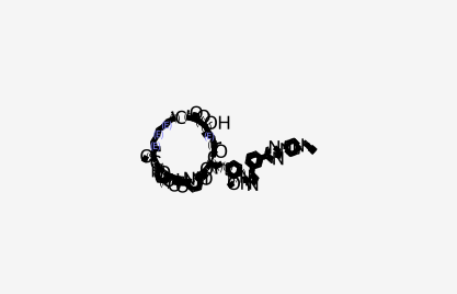 C#CCN1CCN(c2ncc(-c3cccc(-c4cnnn4[C@H]4CC[C@@H](C[C@@H](C)[C@@H]5CC(=O)[C@H](C)/C=C(\C)[C@@H](O)[C@@H](OC)C(=O)[C@H](C)C[C@H](C)/C=C/C=C/C=C(\C)[C@@H](OC)C[C@@H]6CC[C@@H](C)[C@@](O)(O6)C(=O)C(=O)N6CCCC[C@H]6C(=O)O5)C[C@H]4OC)c3)cn2)CC1